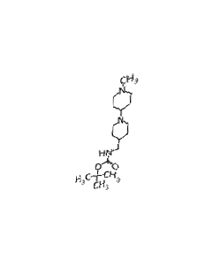 CN1CCC(N2CCC(CNC(=O)OC(C)(C)C)CC2)CC1